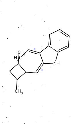 C/C=c1\c(=C/C2C(C)CC2C)[nH]c2ccccc12